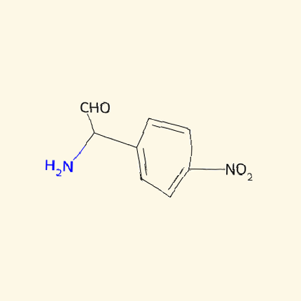 NC(C=O)c1ccc([N+](=O)[O-])cc1